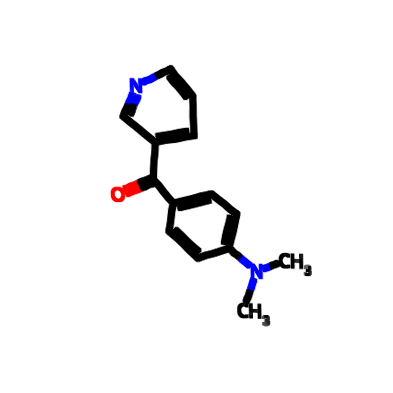 CN(C)c1ccc(C(=O)c2cccnc2)cc1